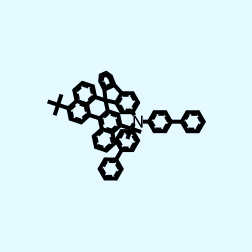 CC(C)(C)c1cc2c(c3ccccc13)-c1ccc(C(C)(C)C)c3cccc(c13)C21c2ccccc2-c2ccc(N(c3ccc(-c4ccccc4)cc3)c3ccc(-c4ccccc4)cc3)cc21